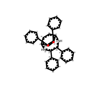 c1ccc(C2=C(c3ccccc3)c3c2c2ccc3[nH]c(-c3ccccc3)c(-c3ccccc3)[nH]2)cc1